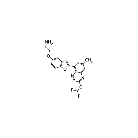 Cc1cc(-c2cc3cc(OCCN)ccc3o2)c2ncc(OC(F)F)nc2c1